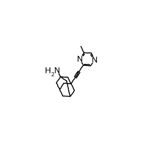 Cc1cncc(C#CC23CC4CC(CC(N)(C4)C2)C3)n1